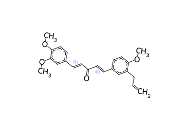 C=CCc1cc(/C=C/C(=O)/C=C/c2ccc(OC)c(OC)c2)ccc1OC